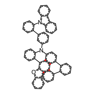 c1ccc(-c2ccccc2-c2ccc(N(c3cccc(-c4ccccc4-n4c5ccccc5c5ccccc54)c3)c3ccccc3-c3cccc4c3oc3ccccc34)cc2)cc1